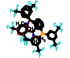 CN(C)[C@@H](c1ccccc1)[C]12[CH]3[CH]4[CH]5[CH]1[Fe]45321678[CH]2[CH]1[C]6(P(c1cc(C(F)(F)F)cc(C(F)(F)F)c1)c1cc(C(F)(F)F)cc(C(F)(F)F)c1)[C]7([C@H](c1ccccc1)N(C)C)[C]28P(c1cc(C(F)(F)F)cc(C(F)(F)F)c1)c1cc(C(F)(F)F)cc(C(F)(F)F)c1